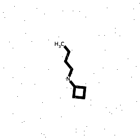 CCCC[N]C1CCC1